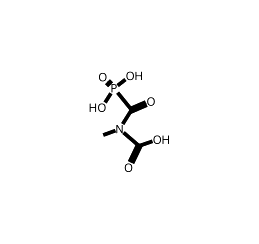 CN(C(=O)O)C(=O)P(=O)(O)O